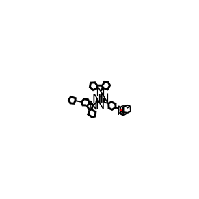 c1ccc(-c2ccc3c(c2)c2ccccc2n3-c2nc(-c3ccc(N4C5CC6CC(C5)CC4C6)cc3)nc(-n3c4ccccc4c4ccccc43)n2)cc1